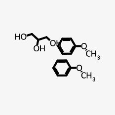 COc1ccccc1.COc1ccccc1.OCC(O)CO